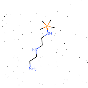 CP(C)(C)(C)NCCNCCN